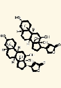 C[C@]12CC[C@H](O)C[C@H]1CC[C@@H]1[C@@H]2C[C@@H](O)[C@]2(C)[C@@H](C3=CC(=O)OC3)CC[C@]12O.C[C@]12CC[C@H](O)C[C@H]1CC[C@@H]1[C@@H]2C[C@@H](O)[C@]2(C)[C@@H](C3=CC(=O)OC3)CC[C@]12O